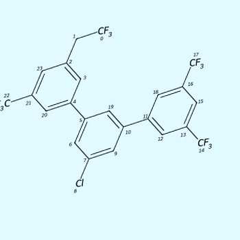 FC(F)(F)Cc1cc(-c2cc(Cl)cc(-c3cc(C(F)(F)F)cc(C(F)(F)F)c3)c2)cc(C(F)(F)F)c1